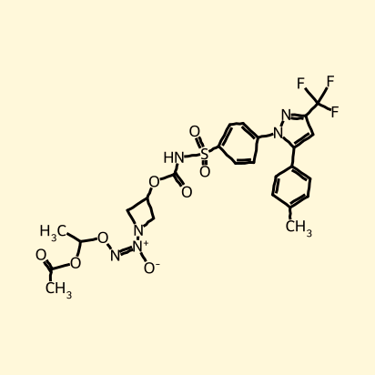 CC(=O)OC(C)O/N=[N+](/[O-])N1CC(OC(=O)NS(=O)(=O)c2ccc(-n3nc(C(F)(F)F)cc3-c3ccc(C)cc3)cc2)C1